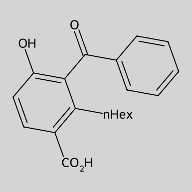 CCCCCCc1c(C(=O)O)ccc(O)c1C(=O)c1ccccc1